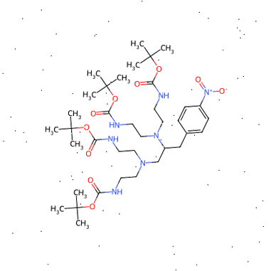 CC(C)(C)OC(=O)NCCN(CCNC(=O)OC(C)(C)C)CC(Cc1ccc([N+](=O)[O-])cc1)N(CCNC(=O)OC(C)(C)C)CCNC(=O)OC(C)(C)C